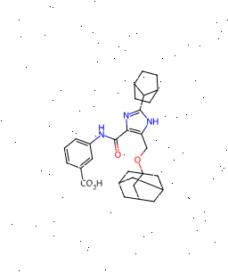 O=C(O)c1cccc(NC(=O)c2nc(C3C4CCC3CC4)[nH]c2COC23CC4CC(CC(C4)C2)C3)c1